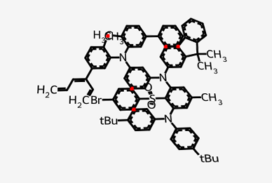 C=C/C=C(\C=C)c1ccc(C)c(N(c2cccc(N(c3ccc4c(c3)C(C)(C)c3ccccc3-4)c3cc(C)cc(N(c4ccc(C(C)(C)C)cc4)c4ccc(C(C)(C)C)cc4)c3S(=O)(=O)c3ccc(Br)cc3)c2)c2cc(-c3ccccc3)ccc2C)c1